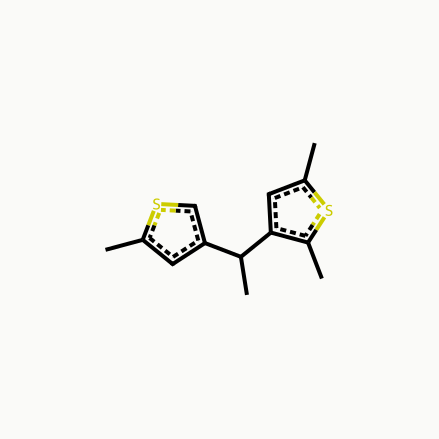 Cc1cc(C(C)c2cc(C)sc2C)cs1